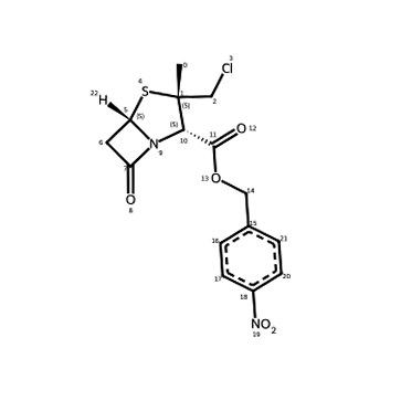 C[C@]1(CCl)S[C@H]2CC(=O)N2[C@H]1C(=O)OCc1ccc([N+](=O)[O-])cc1